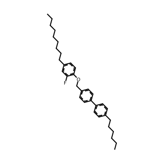 CCCCCCCCCc1ccc(OCc2ccc(-c3ccc(CCCCCC)cc3)cc2)c(F)c1